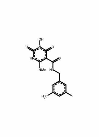 CNc1[nH]c(=O)n(O)c(=O)c1C(=O)NCc1cc(C)cc(F)c1